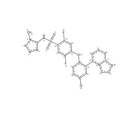 Cn1nnnc1NS(=O)(=O)c1cc(F)c(Oc2ccc(Cl)cc2-c2cccc3nccn23)cc1F